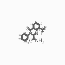 CC(N)c1nc2c(C(F)F)cccc2c(=O)n1-c1ccccc1